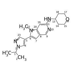 CC(C)n1cc(-c2cc3cnc(NC4CCOCC4)cc3n2C)cn1